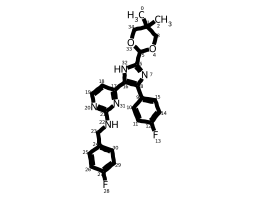 CC1(C)COC(c2nc(-c3ccc(F)cc3)c(-c3ccnc(NCc4ccc(F)cc4)n3)[nH]2)OC1